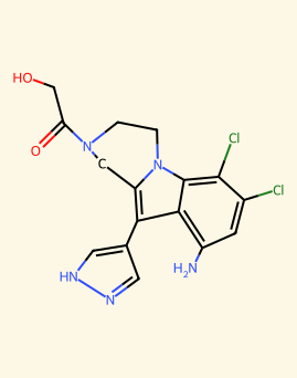 Nc1cc(Cl)c(Cl)c2c1c(-c1cn[nH]c1)c1n2CCN(C(=O)CO)C1